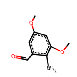 Bc1c(C=O)cc(OC)cc1OC